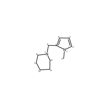 Cn1cccc1CN1CCCCC1